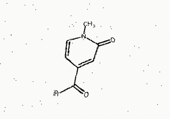 CC(C)C(=O)c1ccn(C)c(=O)c1